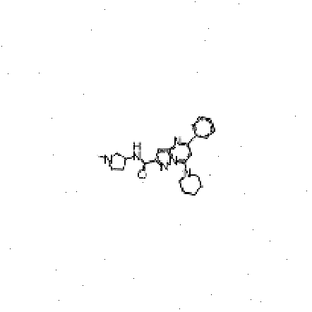 CN1CCC(NC(=O)c2cc3nc(-c4ccccc4)cc(N4CCCCC4)n3n2)C1